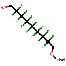 CCCCCCCOCC(F)(F)C(F)(F)C(F)(F)C(F)(F)C(F)(F)C(F)(F)C(F)(F)CO